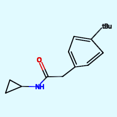 CC(C)(C)c1ccc(CC(=O)NC2CC2)cc1